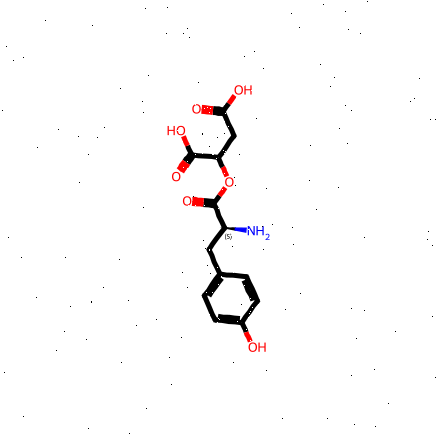 N[C@@H](Cc1ccc(O)cc1)C(=O)OC(CC(=O)O)C(=O)O